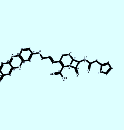 O=C(Cc1cccs1)NC1C(=O)N2C(C(=O)O)=C(C=CCOc3ccc4nc5ccc(=O)cc-5oc4c3)CSC12